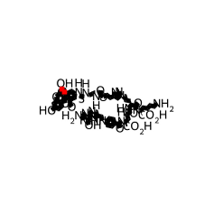 NCCCC[C@@H](NC(=O)[C@H](CCCn1cc(CCOC(=O)NCCNC(=S)Nc2ccc3c(c2)C(=O)OC32c3ccc(O)cc3Oc3cc(O)ccc32)nn1)NC(=O)CC[C@H](NC(=O)c1ccc(NCc2cnc3nc(N)nc(O)c3n2)cc1)C(=O)O)C(=O)O